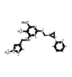 CSc1nc(OC[C@H]2C[C@@H]2c2ccccn2)nc(NCc2cnn(C)c2)c1C